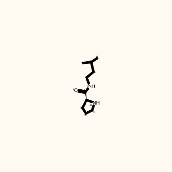 CC(C)CCNC(=O)[C@@H]1CCCN1